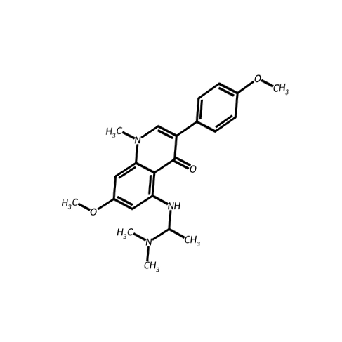 COc1ccc(-c2cn(C)c3cc(OC)cc(NC(C)N(C)C)c3c2=O)cc1